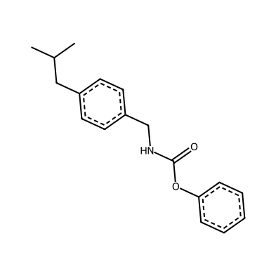 CC(C)Cc1ccc(CNC(=O)Oc2ccccc2)cc1